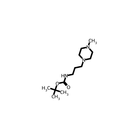 CN1CCN(CCCNC(=O)OC(C)(C)C)CC1